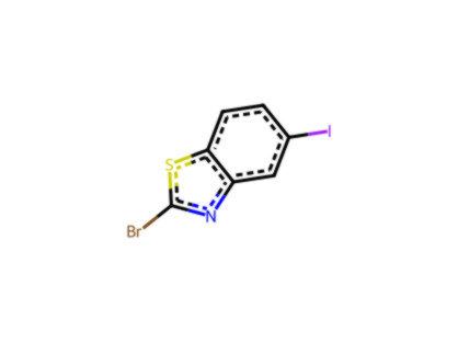 Brc1nc2cc(I)ccc2s1